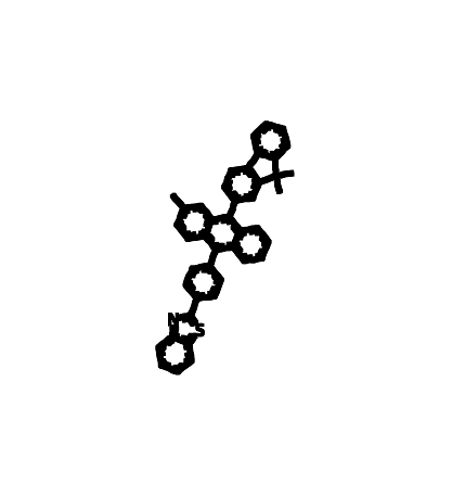 Cc1ccc2c(-c3ccc(-c4nc5ccccc5s4)cc3)c3ccccc3c(-c3ccc4c(c3)C(C)(C)c3ccccc3-4)c2c1